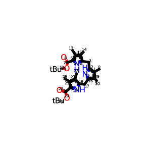 Cc1c(Cc2[nH]c(C(=O)OC(C)(C)C)c(C)c2C)[nH]c(Cc2[nH]c(C(=O)OC(C)(C)C)c(C)c2C)c1C